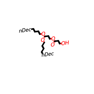 CCCCCCCCCCCCCCOC(CCOC(=O)CCO)OCCCCCCCCCCCCCC